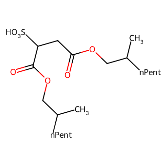 CCCCCC(C)COC(=O)CC(C(=O)OCC(C)CCCCC)S(=O)(=O)O